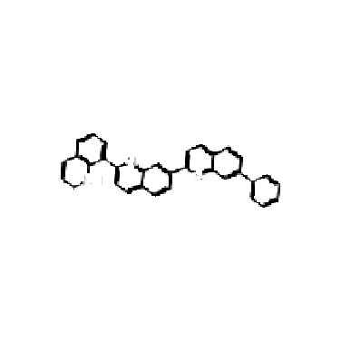 C1=Cc2cccc(-c3ccc4ccc(-c5ccc6ccc(-c7ccccc7)cc6n5)cc4n3)c2NC1